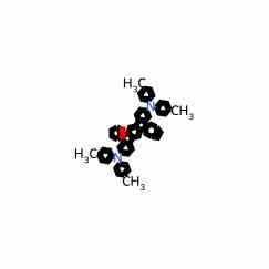 Cc1ccc(N(c2ccc(C)cc2)c2ccc3c(c2)C2(CC4CCC(C4)C2)c2cc4c(cc2-3)C2(CC3CCC2CC3)c2cc(N(c3ccc(C)cc3)c3ccc(C)cc3)ccc2-4)cc1